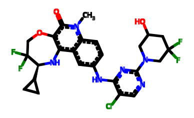 Cn1c(=O)c2c(c3cc(Nc4nc(N5CC(O)CC(F)(F)C5)ncc4Cl)ccc31)N[C@@H](C1CC1)C(F)(F)CO2